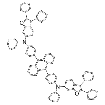 c1ccc(-c2oc3cc(N(c4ccccc4)c4ccc(-c5c6ccccc6c(-c6ccc(N(c7ccccc7)c7ccc8c(-c9ccccc9)c(-c9ccccc9)oc8c7)cc6)c6ccccc56)cc4)ccc3c2-c2ccccc2)cc1